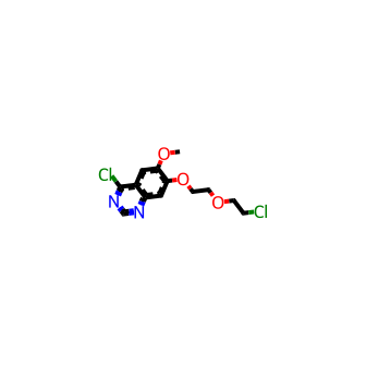 COc1cc2c(Cl)ncnc2cc1OCCOCCCl